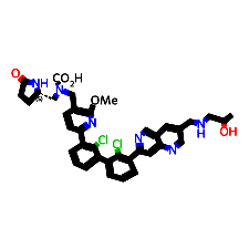 COc1nc(-c2cccc(-c3cccc(-c4cc5ncc(CNCC(C)O)cc5cn4)c3Cl)c2Cl)ccc1CN(C[C@@H]1CCC(=O)N1)C(=O)O